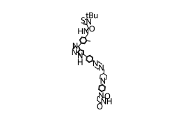 Cc1cc(-c2ncnc3[nH]c(-c4ccc(N5CCN(CC6CCN(c7ccc(N8CCC(=O)NC8=O)cc7)CC6)CC5)cc4)cc23)ccc1CNC(=O)c1csc(C(C)(C)C)n1